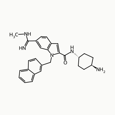 CNC(=N)c1ccc2cc(C(=O)N[C@H]3CC[C@H](N)CC3)n(Cc3ccc4ccccc4c3)c2c1